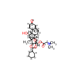 CN(C)CC(=O)OCC(=O)[C@@]12O[C@H](C3CCCCC3)O[C@@H]1C[C@H]1[C@@H]3CCC4=CC(=O)C=C[C@]4(C)[C@H]3[C@@H](O)C[C@@]12C